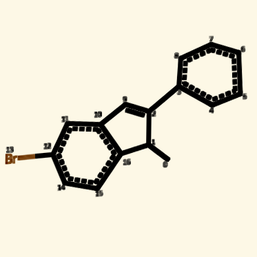 CC1C(c2ccccc2)=Cc2cc(Br)ccc21